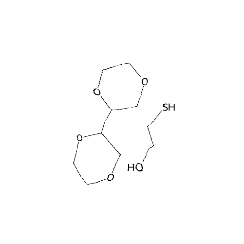 C1COC(C2COCCO2)CO1.OCCS